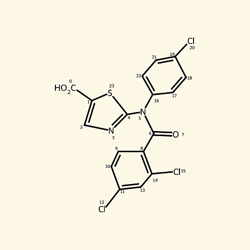 O=C(O)c1cnc(N(C(=O)c2ccc(Cl)cc2Cl)c2ccc(Cl)cc2)s1